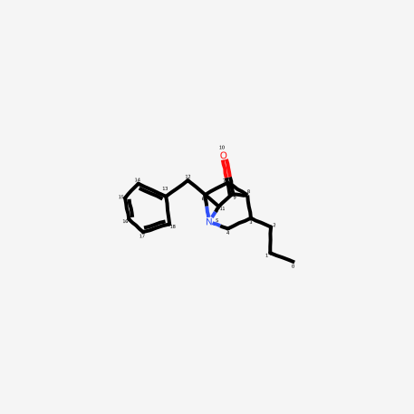 CCCC1CN2CCC1C(=O)C2Cc1ccccc1